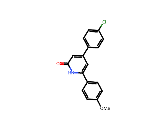 COc1ccc(-c2cc(-c3ccc(Cl)cc3)cc(=O)[nH]2)cc1